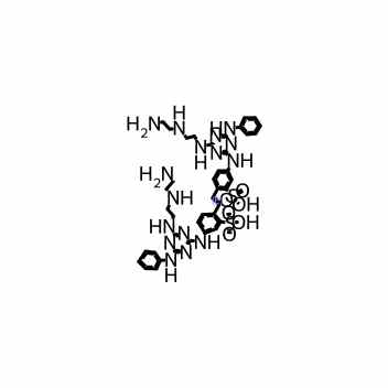 NCCNCCNc1nc(Nc2ccccc2)nc(Nc2ccc(/C=C/c3ccc(Nc4nc(NCCNCCN)nc(Nc5ccccc5)n4)cc3S(=O)(=O)O)c(S(=O)(=O)O)c2)n1